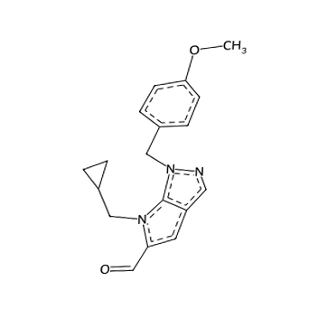 COc1ccc(Cn2ncc3cc(C=O)n(CC4CC4)c32)cc1